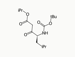 CC(C)C[C@H](NC(=O)OC(C)(C)C)C(=O)CC(=O)OC(C)C